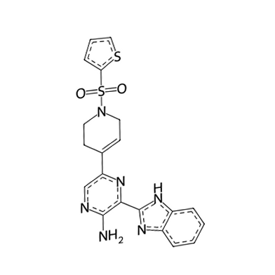 Nc1ncc(C2=CCN(S(=O)(=O)c3cccs3)CC2)nc1-c1nc2ccccc2[nH]1